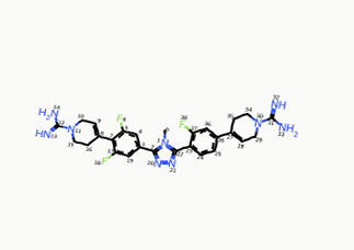 Cn1c(-c2cc(F)c(C3=CCN(C(=N)N)CC3)c(F)c2)nnc1-c1ccc(C2=CCN(C(=N)N)CC2)cc1F